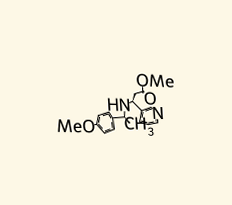 COC(=O)C[C@H](N[C@@H](C)c1ccc(OC)cc1)c1cccnc1